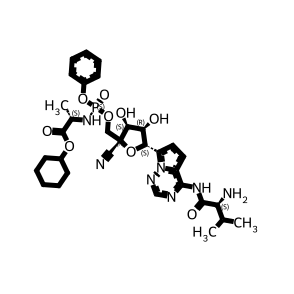 CC(C)[C@H](N)C(=O)Nc1ncnn2c([C@@H]3O[C@](C#N)(CO[P@@](=O)(N[C@@H](C)C(=O)OC4CCCCC4)Oc4ccccc4)[C@@H](O)[C@H]3O)ccc12